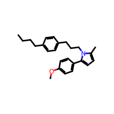 CCCCc1ccc(CCCn2c(C)ccc2-c2ccc(OC)cc2)cc1